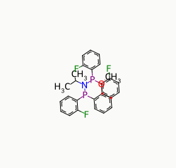 COc1ccccc1P(c1ccccc1F)N(C(C)C)P(c1ccccc1F)c1ccccc1F